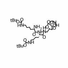 CC(C)(C)OC(=O)NCCCC[C@H](NC(=O)[C@@H](N)CCCCNC(=O)OC(C)(C)C)C(=O)NCC1OC2OCCCOC1C(O)C2O